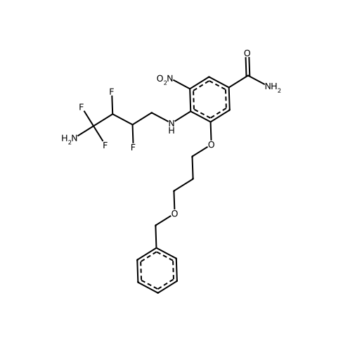 NC(=O)c1cc(OCCCOCc2ccccc2)c(NCC(F)C(F)C(N)(F)F)c([N+](=O)[O-])c1